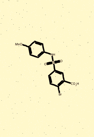 COc1ccc(NS(=O)(=O)c2ccc(Br)c(C(=O)O)c2)cc1